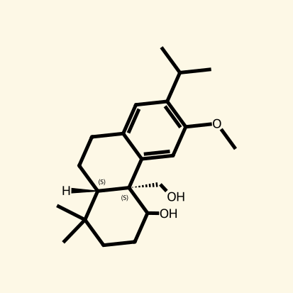 COc1cc2c(cc1C(C)C)CC[C@H]1C(C)(C)CCC(O)[C@]21CO